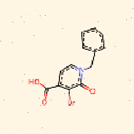 O=C(O)c1ccn(Cc2ccccc2)c(=O)c1Br